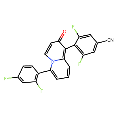 N#Cc1cc(F)c(-c2c(=O)ccn3c(-c4ccc(F)cc4F)cccc23)c(F)c1